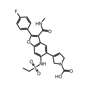 CCS(=O)(=O)Nc1cc2oc(-c3ccc(F)cc3)c(C(=O)NC)c2cc1C1=CCN(C(=O)O)C1